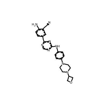 N#Cc1cc(-c2ncnc(Nc3ccc(N4CCN(C5COC5)CC4)cc3)n2)ccc1N